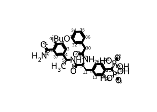 CC(C)COc1ccc([C@H](C)NC(=O)[C@H](Cc2ccc(C(P(=O)(O)O)P(=O)(O)O)cc2)NC(=O)Cc2ccccc2)cc1C(N)=O